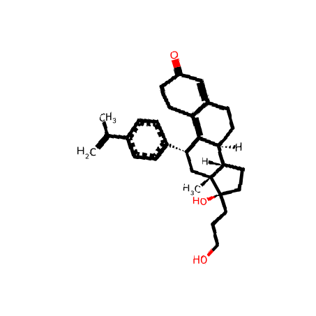 C=C(C)c1ccc([C@H]2C[C@]3(C)[C@@H](CC[C@]3(O)CCCO)[C@@H]3CCC4=CC(=O)CCC4=C32)cc1